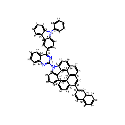 c1ccc(-n2c3ccccc3c3cc(-c4nc(-n5c6cccc7c6c6c8c(ccc9cc(-c%10ccc%11ccccc%11c%10)c%10cccc-7c%10c98)ccc65)nc5ccccc45)ccc32)cc1